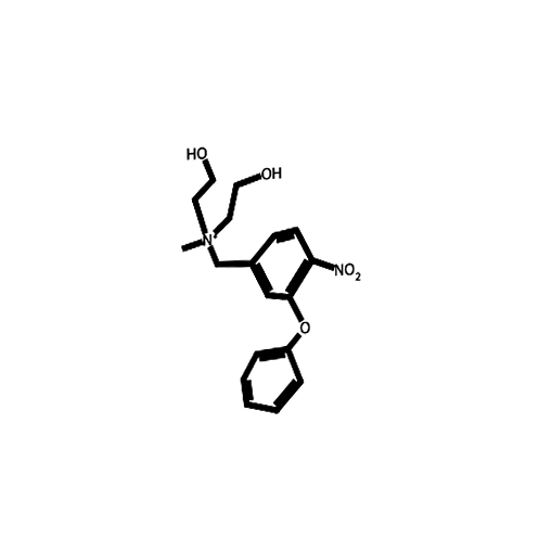 C[N+](CCO)(CCO)Cc1ccc([N+](=O)[O-])c(Oc2ccccc2)c1